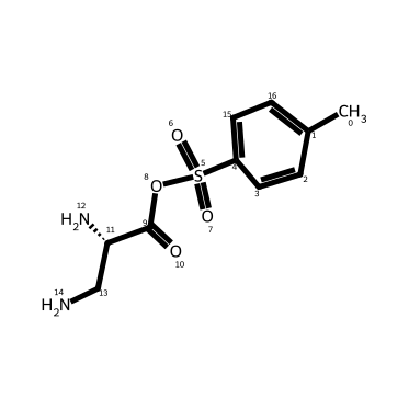 Cc1ccc(S(=O)(=O)OC(=O)[C@@H](N)CN)cc1